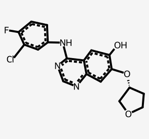 Oc1cc2c(Nc3ccc(F)c(Cl)c3)ncnc2cc1O[C@@H]1CCOC1